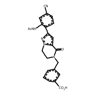 CC(=O)Nc1cc(C#N)ccc1-c1cc2n(n1)CCN(Cc1cccc(C(=O)O)c1)C2=O